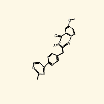 COc1ccc2nc(Cc3ccc(-c4ccnc(C)n4)cc3)[nH]c(=O)c2c1